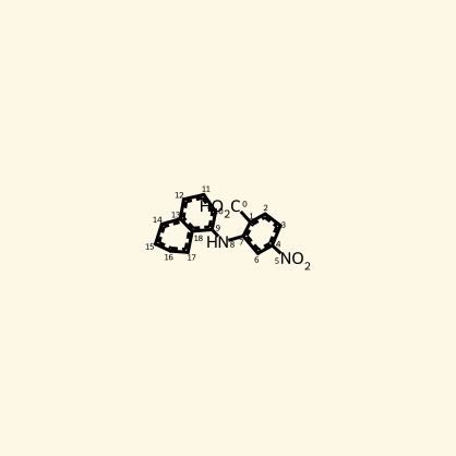 O=C(O)c1ccc([N+](=O)[O-])cc1Nc1cccc2ccccc12